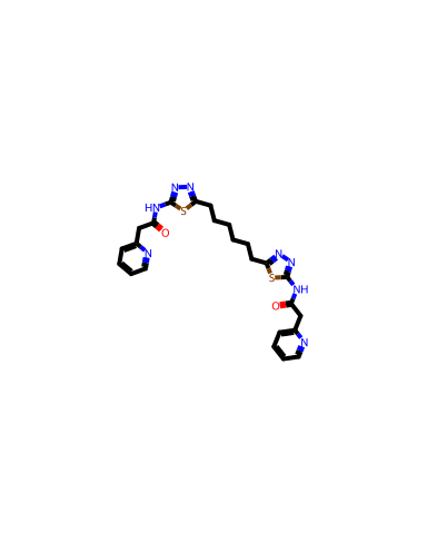 O=C(Cc1ccccn1)Nc1nnc(CCCCCCc2nnc(NC(=O)Cc3ccccn3)s2)s1